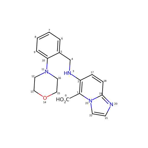 O=C(O)c1c(NCc2ccccc2N2CCOCC2)ccc2nccn12